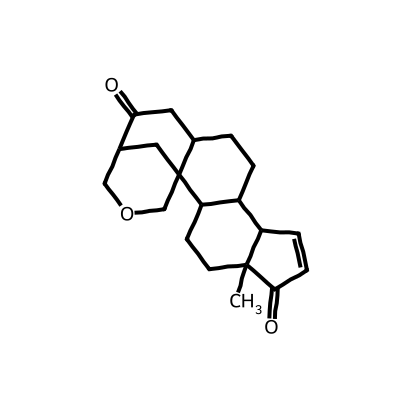 CC12CCC3C(CCC4CC(=O)C5COCC43C5)C1C=CC2=O